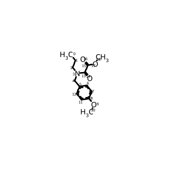 CCCN(Cc1ccc(OC)cc1)C(=O)C(=O)OC